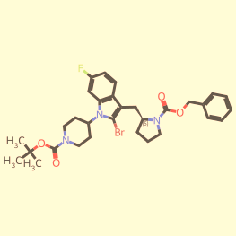 CC(C)(C)OC(=O)N1CCC(n2c(Br)c(C[C@@H]3CCCN3C(=O)OCc3ccccc3)c3ccc(F)cc32)CC1